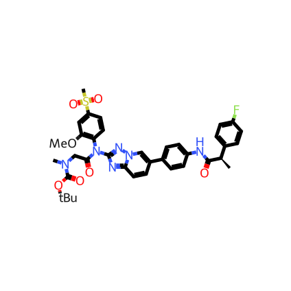 COc1cc(S(C)(=O)=O)ccc1N(C(=O)CN(C)C(=O)OC(C)(C)C)c1nc2ccc(-c3ccc(NC(=O)[C@H](C)c4ccc(F)cc4)cc3)cn2n1